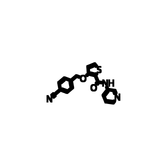 N#Cc1ccc(COc2ccsc2C(=O)Nc2cccnc2)cc1